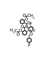 CC(=O)Oc1ccccc1C(=O)N(C(=O)c1ccccc1OC(C)=O)c1nc(OCc2ccc(F)cc2)ncc1F